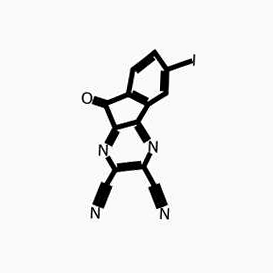 N#Cc1nc2c(nc1C#N)-c1cc(I)ccc1C2=O